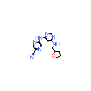 N#Cc1cnc(Nc2cc(NCC3CCCO3)ncn2)cn1